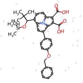 C[SiH](C)OC(c1ccc2c(C(=O)O)c(C(=O)O)c3c(-c4ccc(OCc5ccccc5)cc4)cc1n23)C(C)(C)C